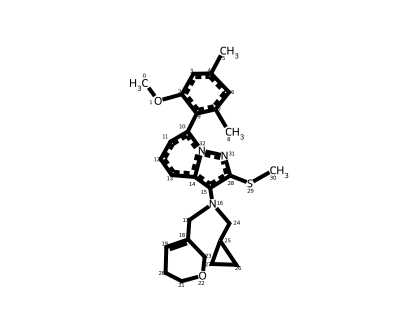 COc1cc(C)cc(C)c1-c1cccc2c(N(CC3=CCCOC3)CC3CC3)c(SC)nn12